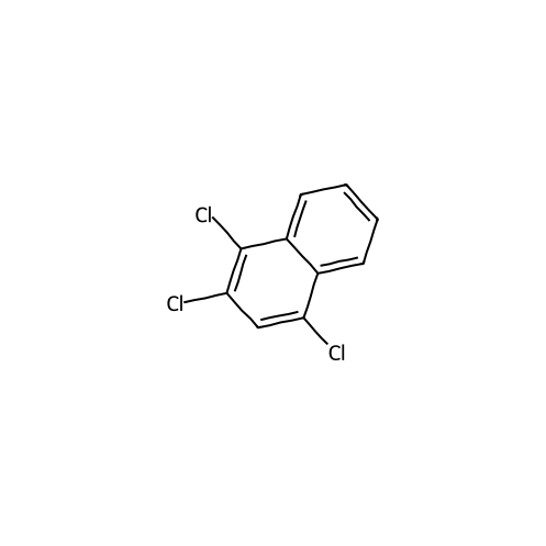 Clc1cc(Cl)c2ccccc2c1Cl